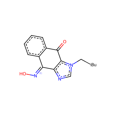 CCC(C)Cn1cnc2c1C(=O)c1ccccc1/C2=N\O